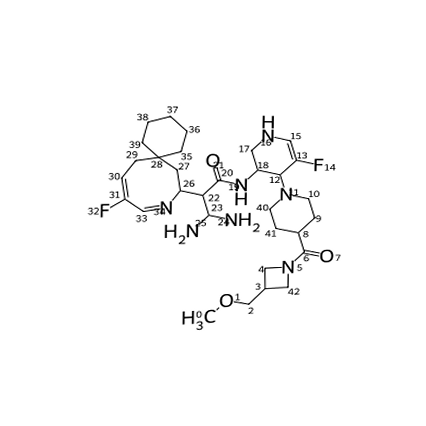 COCC1CN(C(=O)C2CCN(C3C(F)=CNCC3NC(=O)C(C(N)N)C3CC4(C/C=C(F)\C=N/3)CCCCC4)CC2)C1